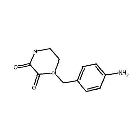 Nc1ccc(CN2CC[N]C(=O)C2=O)cc1